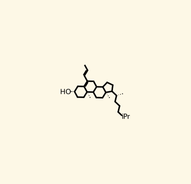 C/C=C/C1=C2C[C@@H](O)CC[C@]2(C)C2CC[C@@]3(C)C(CCC3[C@H](C)CCCC(C)C)C2C1